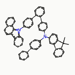 CC1(C)c2ccccc2-c2cc(N(c3ccc(-c4ccccc4)cc3)c3ccc(-c4ccccc4-c4ccc(-n5c6ccccc6c6ccc7ccccc7c65)cc4)cc3)ccc21